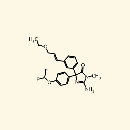 CCOCC=Cc1cccc(C2(c3ccc(OC(F)F)cc3)N=C(N)N(C)C2=O)c1